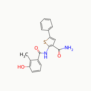 Cc1c(O)cccc1C(=O)Nc1sc(-c2ccccc2)cc1C(N)=O